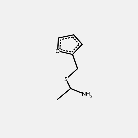 CC(N)SCc1ccco1